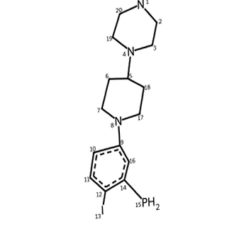 CN1CCN(C2CCN(c3ccc(I)c(P)c3)CC2)CC1